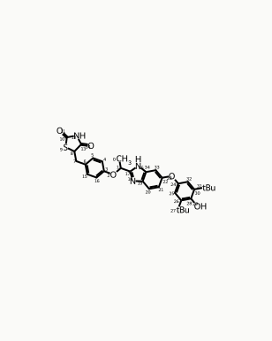 CC(Oc1ccc(CC2SC(=O)NC2=O)cc1)c1nc2ccc(Oc3cc(C(C)(C)C)c(O)c(C(C)(C)C)c3)cc2[nH]1